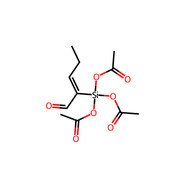 CCC=C(C=O)[Si](OC(C)=O)(OC(C)=O)OC(C)=O